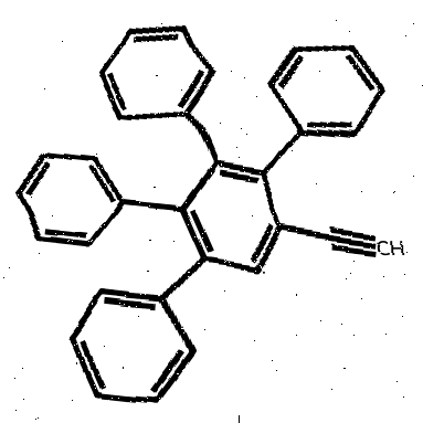 C#Cc1[c]c(-c2ccccc2)c(-c2ccccc2)c(-c2ccccc2)c1-c1ccccc1